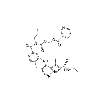 CCCN(C(=O)OCOC(=O)c1cccnc1)C(=O)c1ccc(C)c(Nc2ncnn3cc(C(=O)NCC)c(C)c23)c1